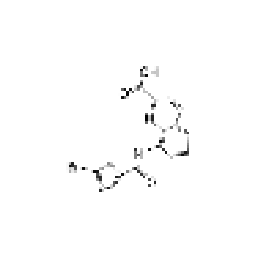 O=C(O)c1ccc2cccc(NC(=O)c3ccc(Br)s3)c2n1